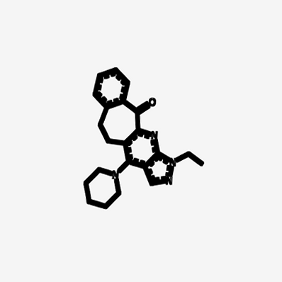 CCn1ncc2c(N3CCCCC3)c3c(nc21)C(=O)c1ccccc1CC3